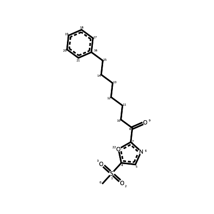 CS(=O)(=O)c1cnc(C(=O)CCCCCCc2ccccc2)o1